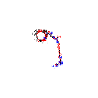 CO[C@H]1C[C@@H]2CC[C@@H](C)[C@@](O)(O2)C(=O)C(=O)N2CCCC[C@H]2C(=O)OC([C@H](N)C[C@@H]2CC[C@H](n3nncc3-c3cccc(-c4cnc(N5CCN(Cc6cn(CCOCCOCCOCCOCCOCCC(=O)NCCCCn7nc(-c8ccc9oc(N)nc9c8)c8c(N)ncnc87)nn6)C(CO)C5)nc4)c3)[C@H](OC)C2)CC(=O)[C@H](C)/C=C(\C)[C@@H](O)[C@@H](OC)C(=O)[C@H](C)C[C@H](C)/C=C/C=C/C=C/1C